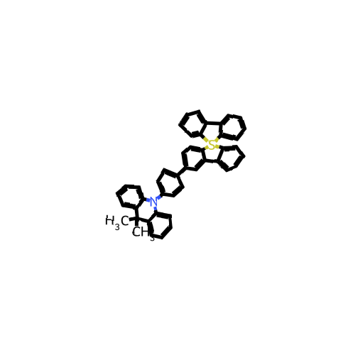 CC1(C)c2ccccc2N(c2ccc(-c3ccc4c(c3)-c3ccccc3S43c4ccccc4-c4ccccc43)cc2)c2ccccc21